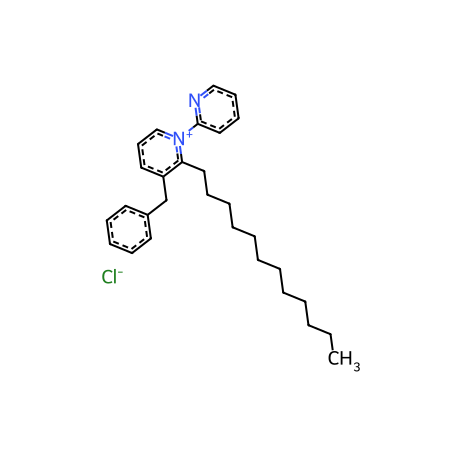 CCCCCCCCCCCCc1c(Cc2ccccc2)ccc[n+]1-c1ccccn1.[Cl-]